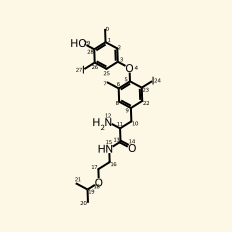 Cc1cc(Oc2c(C)cc(CC(N)C(=O)NCCOC(C)C)cc2I)cc(I)c1O